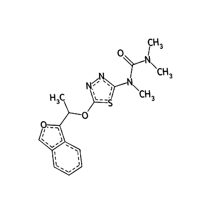 CC(Oc1nnc(N(C)C(=O)N(C)C)s1)c1occ2ccccc12